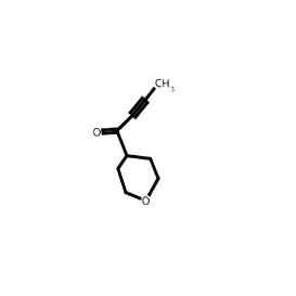 CC#CC(=O)C1CCOCC1